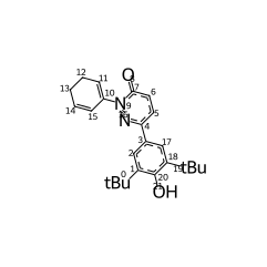 CC(C)(C)c1cc(-c2ccc(=O)n(C3=CCCC=C3)n2)cc(C(C)(C)C)c1O